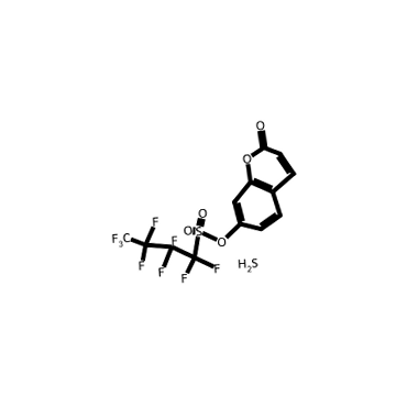 O=c1ccc2ccc(OS(=O)(=O)C(F)(F)C(F)(F)C(F)(F)C(F)(F)F)cc2o1.S